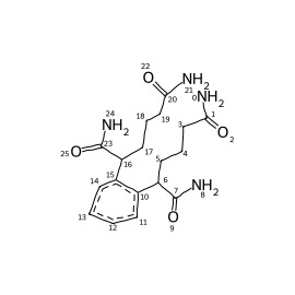 NC(=O)CCCC(C(N)=O)c1ccccc1C(CCCC(N)=O)C(N)=O